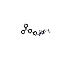 C=C/C=C\C(N)=N\c1ccc(-c2ccc(P(c3ccccc3)c3ccccc3)cc2)cc1